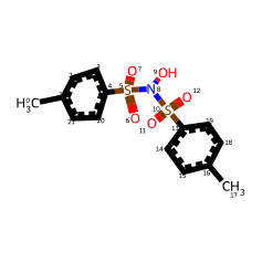 Cc1ccc(S(=O)(=O)N(O)S(=O)(=O)c2ccc(C)cc2)cc1